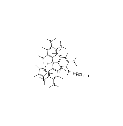 CC1=C(C)C(C)[C]([Ti][Si](c2c(C)c(N(C)C)c(N(C)C)c(C)c2N(C)C)(c2c(C)c(N(C)C)c(N(C)C)c(C)c2N(C)C)c2c(C)c(N(C)C)c(N(C)C)c(C)c2N(C)C)=C1C.Cl.Cl.Cl